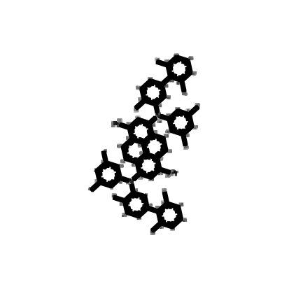 Cc1cc(C)cc(N(c2cc(-c3c(C)cccc3C)ccc2C)c2cc(C(C)C)c3ccc4c(N(c5cc(C)cc(C)c5)c5cc(-c6c(C)cccc6C)ccc5C)cc(C(C)C)c5ccc2c3c54)c1